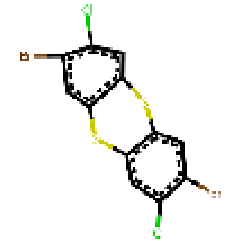 Clc1cc2c(cc1Br)Sc1cc(Cl)c(Br)cc1S2